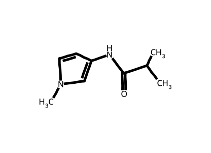 CC(C)C(=O)Nc1ccn(C)c1